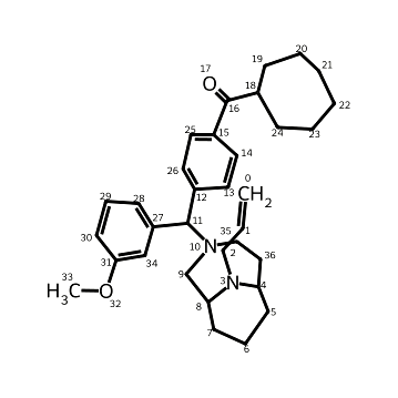 C=CCN1C2CCCC1CN(C(c1ccc(C(=O)C3CCCCCC3)cc1)c1cccc(OC)c1)CC2